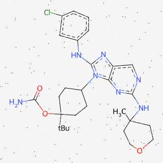 CC1(Nc2ncc3nc(Nc4cccc(Cl)c4)n(C4CCC(OC(N)=O)(C(C)(C)C)CC4)c3n2)CCOCC1